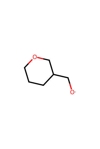 [O]CC1CCCOC1